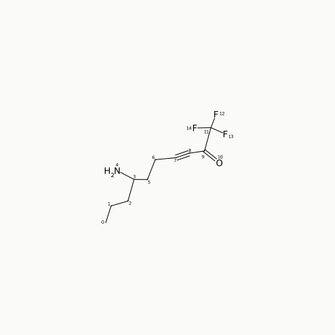 CCCC(N)CCC#CC(=O)C(F)(F)F